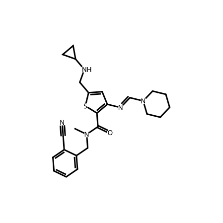 CN(Cc1ccccc1C#N)C(=O)c1sc(CNC2CC2)cc1/N=C/N1CCCCC1